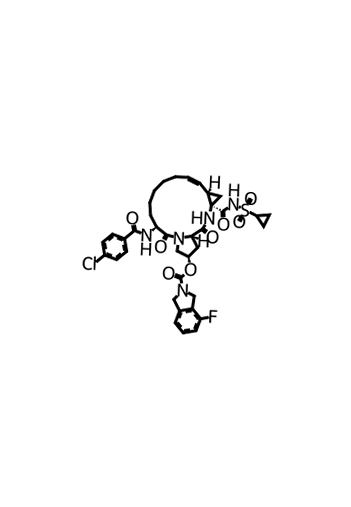 O=C(N[C@H]1CCCCC/C=C\[C@@H]2C[C@@]2(C(=O)NS(=O)(=O)C2CC2)NC(=O)[C@@H]2C[C@@H](OC(=O)N3Cc4cccc(F)c4C3)CN2C1=O)c1ccc(Cl)cc1